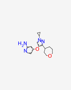 Nc1cc(Oc2cn(C3CC3)nc2C2CCCOCC2)ccn1